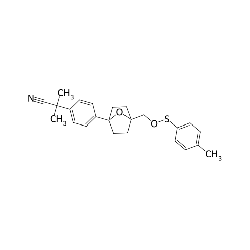 Cc1ccc(SOCC23CCC(c4ccc(C(C)(C)C#N)cc4)(CC2)O3)cc1